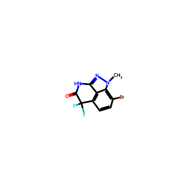 Cn1nc2c3c(ccc(Br)c31)C(F)(F)C(=O)N2